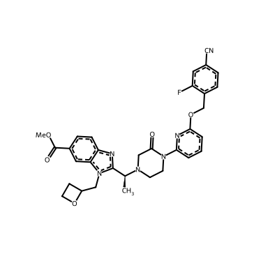 COC(=O)c1ccc2nc([C@H](C)N3CCN(c4cccc(OCc5ccc(C#N)cc5F)n4)C(=O)C3)n(CC3CCO3)c2c1